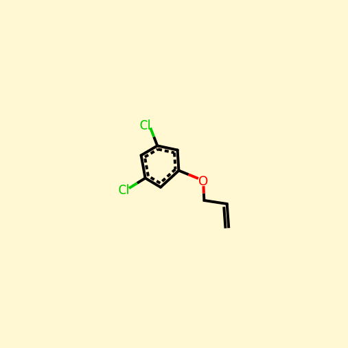 C=CCOc1cc(Cl)cc(Cl)c1